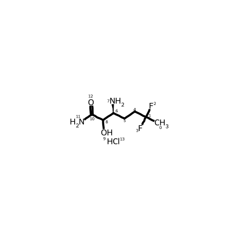 CC(F)(F)CC[C@H](N)C(O)C(N)=O.Cl